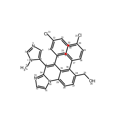 Cn1cncc1-c1c(-c2cccc(Cl)c2)c2c(-c3ccc(Cl)cc3)c(CO)ccc2n2ccnc12